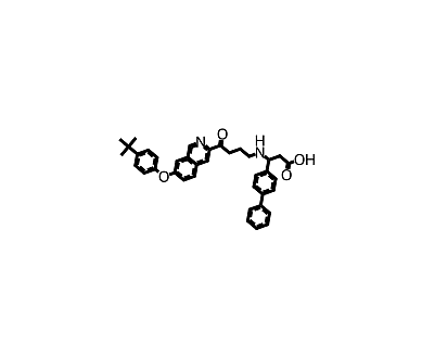 CC(C)(C)c1ccc(Oc2ccc3cc(C(=O)CCCNC(CC(=O)O)c4ccc(-c5ccccc5)cc4)ncc3c2)cc1